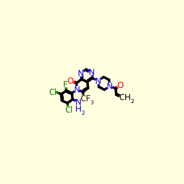 C=CC(=O)N1CCN(c2ncnc3c(=O)n(C4=C(F)C(Cl)=CC(Cl)C4N)c(C(F)(F)F)cc23)CC1